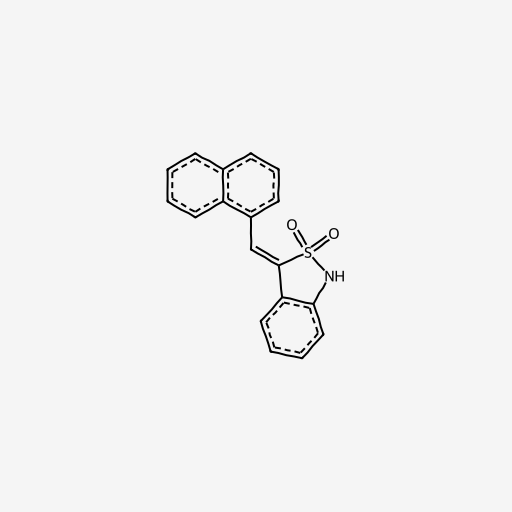 O=S1(=O)Nc2ccccc2C1=Cc1cccc2ccccc12